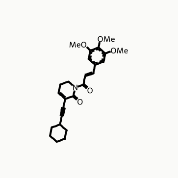 COc1cc(C=CC(=O)N2CCC=C(C#CC3CCCCC3)C2=O)cc(OC)c1OC